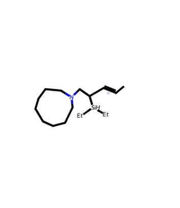 C/C=C/C(CN1CCCCCCCC1)[SiH](CC)CC